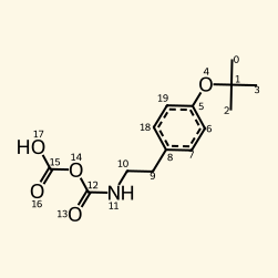 CC(C)(C)Oc1ccc(CCNC(=O)OC(=O)O)cc1